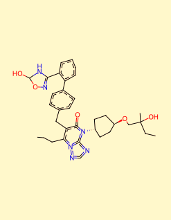 CCCc1c(Cc2ccc(-c3ccccc3C3=NOC(O)N3)cc2)c(=O)n([C@H]2CC[C@H](OCC(C)(O)CC)CC2)c2ncnn12